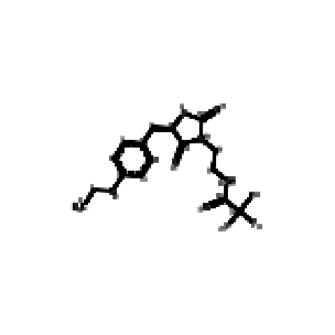 CCOc1ccc(C=C2SC(=O)N(CCNC(=O)C(F)(F)F)C2=O)cc1